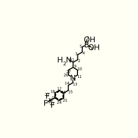 NC(CCCCB(O)O)C1CCN(CCCc2ccc(C(F)(F)F)cc2)CC1